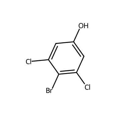 Oc1cc(Cl)c(Br)c(Cl)c1